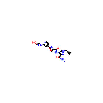 NC(=O)c1nn(CC2CC2)cc1NC(=O)c1coc(-c2ccnc(NCCO)c2)n1